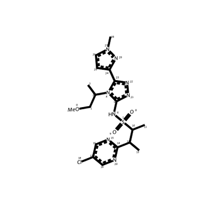 COCC(C)n1c(NS(=O)(=O)C(C)C(C)c2ncc(Cl)cn2)nnc1-c1ccn(C)n1